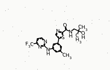 Cc1cc(Nc2nccc(C(F)(F)F)n2)cc(-c2cnc(C(=O)NCC(C)(C)O)s2)c1